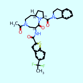 CC(=O)N1CC[C@H]2CC[C@@H](C(=O)N3CCc4ccccc4C3)N2C(=O)[C@@H](NC(=O)c2cc3cc(C(C)(F)F)ccc3s2)C1